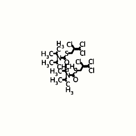 CC(C)N(C(=O)SCC(Cl)=C(Cl)Cl)C(C)C.CC(C)N(C(=O)SCC(Cl)=C(Cl)Cl)C(C)C